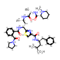 CC[C@H](C)[C@H](NC(=O)[C@H]1CCCCN1C)C(=O)N[C@H](C[C@@H](NC(=O)c1ccccc1C(=O)N1CCCC1)c1nc(C(=O)N[C@@H](Cc2ccccc2)C[C@H](C)C(=O)O)cs1)C(C)C